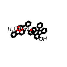 CC1(C)c2ccccc2-c2ccc(N(c3ccc(-c4ccc(O)c5c4C(c4c#cccc4)(C4C=CC=CC4)c4ccccc4-5)cc3)c3ccccc3-c3ccccc3)cc21